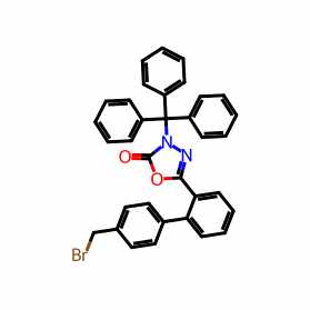 O=c1oc(-c2ccccc2-c2ccc(CBr)cc2)nn1C(c1ccccc1)(c1ccccc1)c1ccccc1